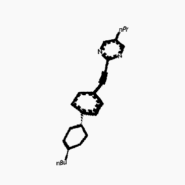 CCCC[C@H]1CC[C@H](c2ccc(C#Cc3ncc(CCC)cn3)cc2)CC1